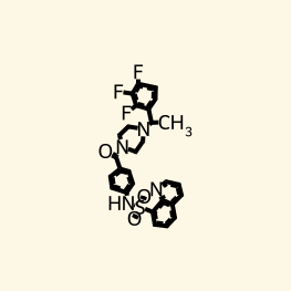 CC(c1ccc(F)c(F)c1F)N1CCN(C(=O)c2ccc(NS(=O)(=O)c3cccc4cccnc34)cc2)CC1